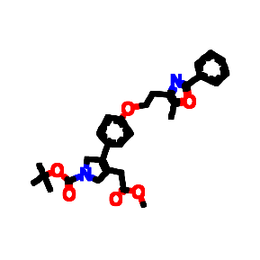 COC(=O)CC1=C(c2ccc(OCCc3nc(-c4ccccc4)oc3C)cc2)CN(C(=O)OC(C)(C)C)C1